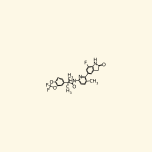 Cc1ccc(NC(=O)C(C)(C)c2ccc3c(c2)OC(F)(F)O3)nc1-c1cc(F)c2c(c1)CC(=O)N2